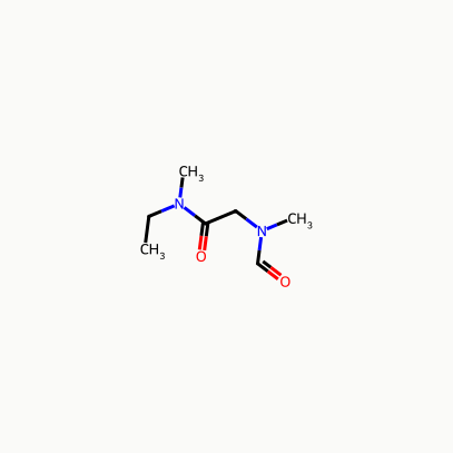 CCN(C)C(=O)CN(C)C=O